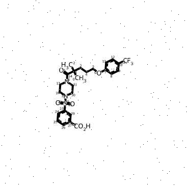 CC(C)(CCCOc1ccc(C(F)(F)F)cc1)C(=O)N1CCN(S(=O)(=O)c2cccc(C(=O)O)c2)CC1